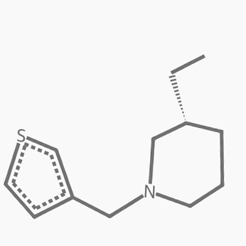 CC[C@@H]1CCCN(Cc2ccsc2)C1